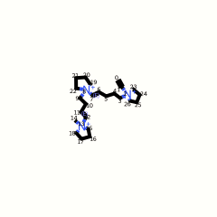 C#C[N+]1(CCC/C=C/[N+]2(CC/C=C/[N+]3(C)CCCC3)CCCC2)CCCC1